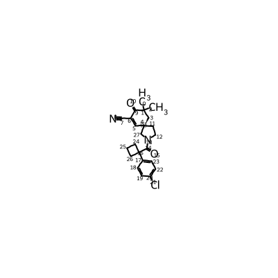 CC1(C)C[C@@]2(C=C(C#N)C1=O)CCN(C(=O)C1(c3ccc(Cl)cc3)CCC1)C2